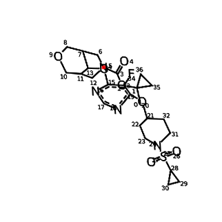 CC1(OC(=O)N2CC3COCC(C2)C3Oc2ncnc(OC3CCN(S(=O)(=O)C4CC4)CC3)c2F)CC1